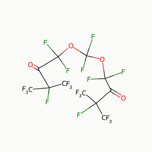 O=C(C(F)(F)OC(F)(F)OC(F)(F)C(=O)C(F)(C(F)(F)F)C(F)(F)F)C(F)(C(F)(F)F)C(F)(F)F